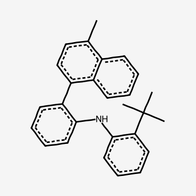 Cc1ccc(-c2ccccc2Nc2ccccc2C(C)(C)C)c2ccccc12